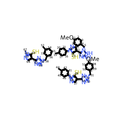 COc1ccc(CN2NNN=C2c2cnn(-c3ccc(C)cc3)c2S)cc1.COc1ccc(Cn2nnc(-c3cnn(-c4ccc(C)cc4)c3S)n2)cc1.Cc1cccc(Cn2nnc(-c3cnn(C)c3S)n2)c1